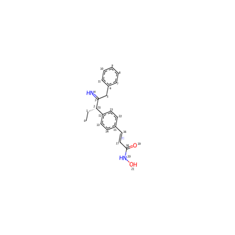 CC[C@H](C(=N)Cc1ccccc1)c1ccc(/C=C/C(=O)NO)cc1